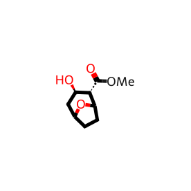 COC(=O)[C@@H]1C2CCC(C[C@H]1O)O2